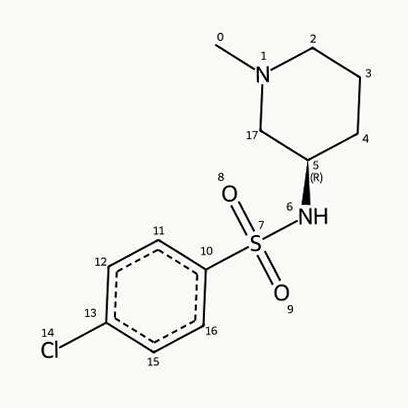 CN1CCC[C@@H](NS(=O)(=O)c2ccc(Cl)cc2)C1